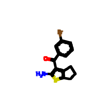 Nc1sc2c(c1C(=O)c1cccc(Br)c1)CCC2